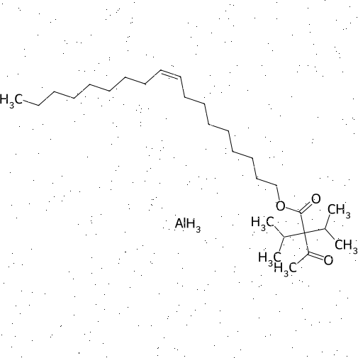 CCCCCCCC/C=C\CCCCCCCCOC(=O)C(C(C)=O)(C(C)C)C(C)C.[AlH3]